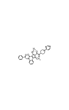 COc1c(C(=O)NC2CCN(c3ccncn3)CC2)n(C)c2c1c(=O)n(CC(=O)c1ccccc1)c1ccccc21